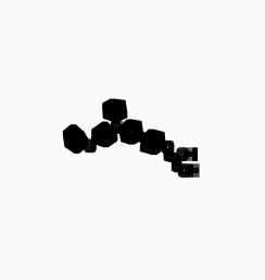 OCC(O)COc1ccc(-c2ccc(N(c3ccccc3)c3ccc(Oc4ccccc4)cc3)cc2)cc1